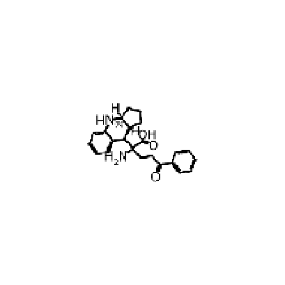 NC(CCC(=O)c1ccccc1)(C(=O)O)C1c2ccccc2N[C@@H]2CCC[C@H]12